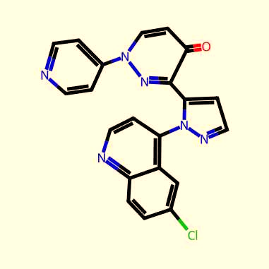 O=c1ccn(-c2ccncc2)nc1-c1ccnn1-c1ccnc2ccc(Cl)cc12